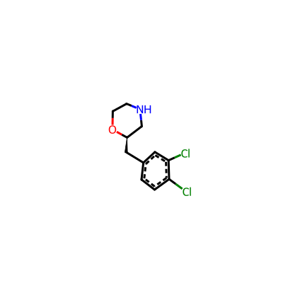 Clc1ccc(C[C@@H]2CNCCO2)cc1Cl